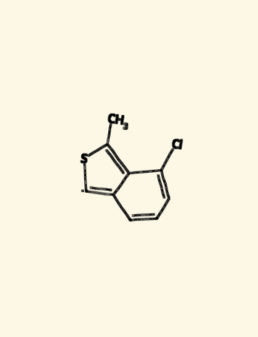 Cc1s[c]c2cccc(Cl)c12